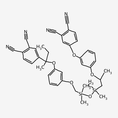 CCC(C)(Oc1cccc(OC[Si](C)(C)O[Si](C)(C)CC(C)Oc2cccc(Oc3ccc(C#N)c(C#N)c3)c2)c1)c1ccc(C#N)c(C#N)c1